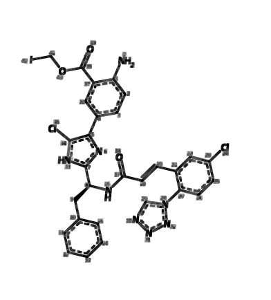 Nc1ccc(-c2nc([C@H](Cc3ccccc3)NC(=O)/C=C/c3cc(Cl)ccc3-n3cnnn3)[nH]c2Cl)cc1C(=O)OCI